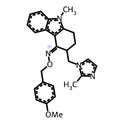 COc1ccc(CO/N=C2/c3c(n(C)c4ccccc34)CCC2Cn2ccnc2C)cc1